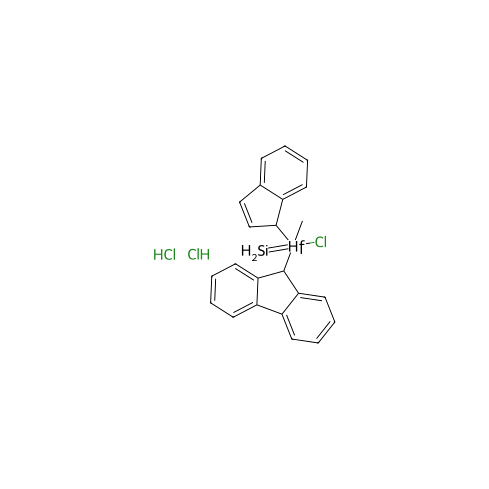 Cl.Cl.[CH3][Hf](=[SiH2])([Cl])([CH]1C=Cc2ccccc21)[CH]1c2ccccc2-c2ccccc21